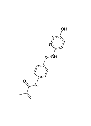 C=C(C)C(=O)Nc1ccc(SNc2ccc(O)nn2)cc1